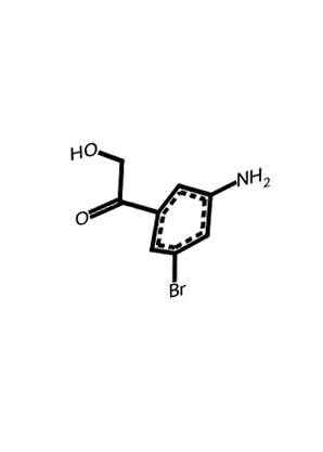 Nc1cc(Br)cc(C(=O)CO)c1